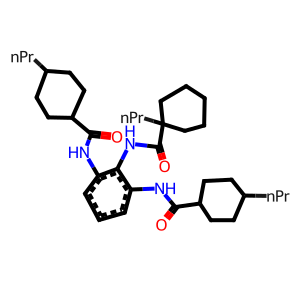 CCCC1CCC(C(=O)Nc2cccc(NC(=O)C3CCC(CCC)CC3)c2NC(=O)C2(CCC)CCCCC2)CC1